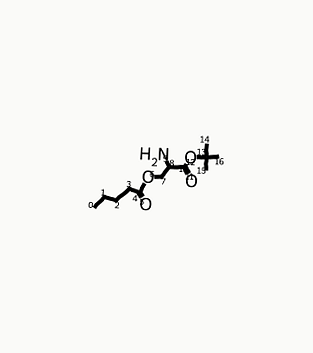 CCCCC(=O)OCC(N)C(=O)OC(C)(C)C